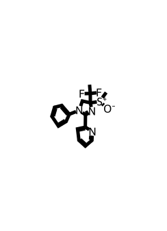 C[S+]([O-])C1(C(C)(F)F)CN(c2ccccc2)C(c2ccccn2)=N1